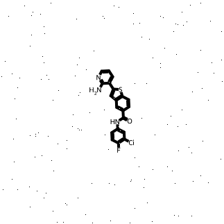 Nc1ncccc1-c1cc2cc(C(=O)Nc3ccc(F)c(Cl)c3)ccc2s1